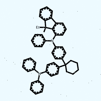 CCC1(C)c2ccccc2-c2cccc(N(c3ccccc3)c3ccc(C4(c5ccc(N(c6ccccc6)c6ccccc6)cc5)CCCCC4)cc3)c21